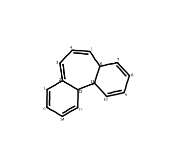 C1=CC2=CC=CC3C=CC=CC3C2C=C1